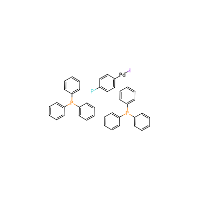 Fc1cc[c]([Pd][I])cc1.c1ccc(P(c2ccccc2)c2ccccc2)cc1.c1ccc(P(c2ccccc2)c2ccccc2)cc1